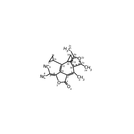 C/C(=C1\C(=O)OC(=C(C#N)C#N)C1=C(C1CC1)C1CC1)c1cc(C)oc1C